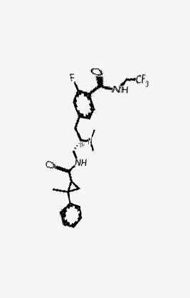 CN(C)[C@H](CNC(=O)C1CC1(C)c1ccccc1)Cc1ccc(C(=O)NCC(F)(F)F)c(F)c1